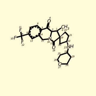 CC1C2C(=O)c3ccc(C(F)(F)F)cc3CN2C(=O)[C@]12CC[C@@H](NC1CCOCC1)C2